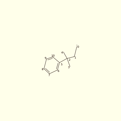 [CH2]CC(C)(C)c1ccccc1